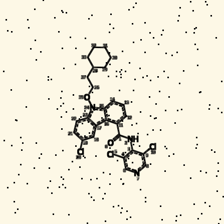 O=C(Nc1c(Cl)cncc1Cl)c1cccc2c1c1cc(Cl)ccc1n2OCCC1CCCCC1